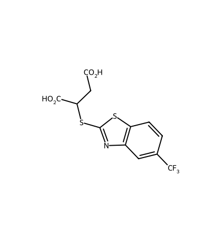 O=C(O)CC(Sc1nc2cc(C(F)(F)F)ccc2s1)C(=O)O